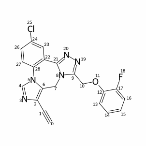 C#Cc1ncn2c1Cn1c(COc3ccccc3F)nnc1-c1cc(Cl)ccc1-2